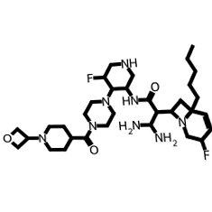 CCCCCC12C=CC(F)CN1C(C(C(=O)NC1CNCC(F)C1N1CCN(C(=O)C3CCN(C4COC4)CC3)CC1)C(N)N)C2